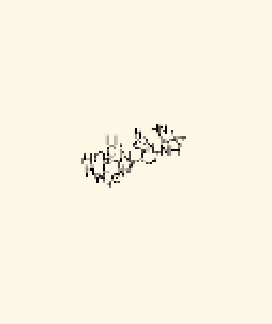 Cc1nc(N[C@@H]2CNCC23CC3)ccc1-c1cn(C)c(C(C)(C)O)n1